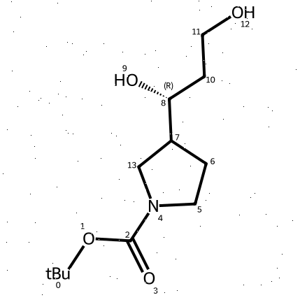 CC(C)(C)OC(=O)N1CCC([C@H](O)CCO)C1